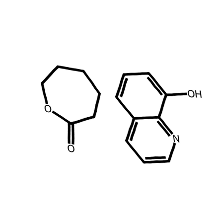 O=C1CCCCCO1.Oc1cccc2cccnc12